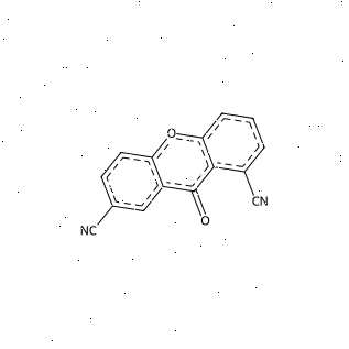 N#Cc1ccc2oc3cccc(C#N)c3c(=O)c2c1